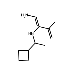 C=C(C)/C(=C/N)NC(C)C1CCC1